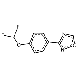 FC(F)Oc1ccc(-c2ncon2)cc1